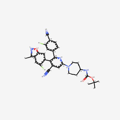 Cc1noc2cc(-c3c(C#N)cc(N4CCC(NC(=O)OC(C)(C)C)CC4)nc3-c3ccc(C#N)c(F)c3)c(F)cc12